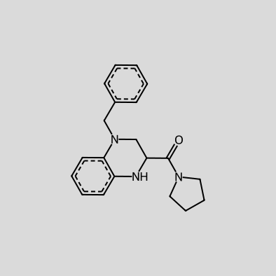 O=C(C1CN(Cc2ccccc2)c2ccccc2N1)N1CCCC1